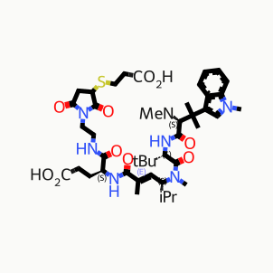 CN[C@H](C(=O)N[C@H](C(=O)N(C)[C@H](/C=C(\C)C(=O)N[C@@H](CCC(=O)O)C(=O)NCCN1C(=O)CC(SCCC(=O)O)C1=O)C(C)C)C(C)(C)C)C(C)(C)c1cn(C)c2ccccc12